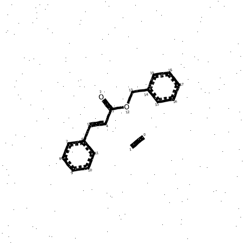 C=C.O=C(C=Cc1ccccc1)OCc1ccccc1